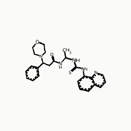 CC(NC(=O)CC(c1ccccc1)N1CCOCC1)NC(=S)Nc1cccc2cccnc12